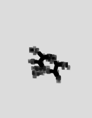 C=C(C)C(=O)[O-].C=C(C)C(=O)[O-].[Co+2].[KH]